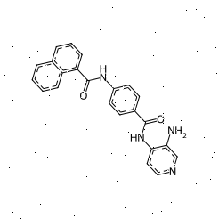 Nc1cnccc1NC(=O)c1ccc(NC(=O)c2cccc3ccccc23)cc1